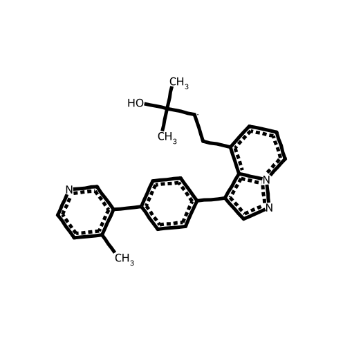 Cc1ccncc1-c1ccc(-c2cnn3cccc(C[CH]C(C)(C)O)c23)cc1